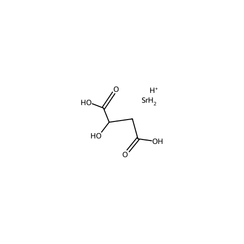 O=C(O)CC(O)C(=O)O.[H+].[SrH2]